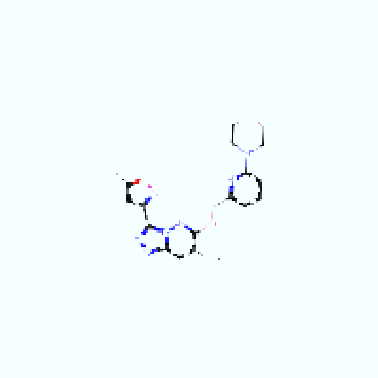 COc1cc2nnc(-c3cc(C)on3)n2nc1OCc1cccc(N2CCOCC2)n1